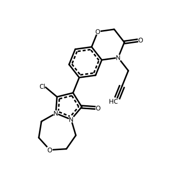 C#CCN1C(=O)COc2ccc(-c3c(Cl)n4n(c3=O)CCOCC4)cc21